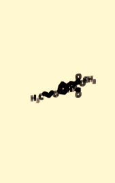 CCCCOc1ccc(CC(NC=O)C(=O)OC)cc1